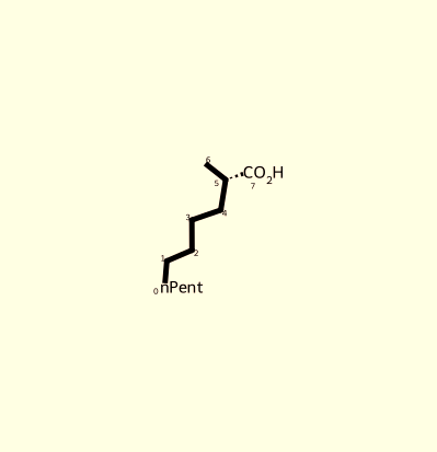 CCCCCCCCC[C@H](C)C(=O)O